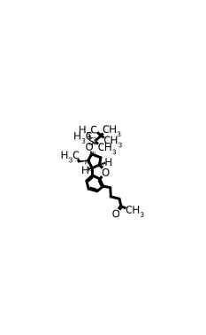 CC[C@@H]1[C@H]2c3cccc(CCCC(C)=O)c3O[C@H]2C[C@H]1O[Si](C)(C)C(C)(C)C